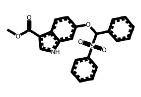 COC(=O)c1c[nH]c2cc(OC(c3ccccc3)S(=O)(=O)c3ccccc3)ccc12